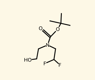 CC(C)(C)OC(=O)N(CCO)CC(F)F